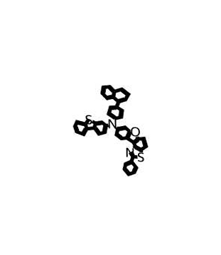 c1ccc(-c2nc3c(ccc4oc5cc(N(c6ccc(-c7cccc8ccccc78)cc6)c6ccc7c(c6)sc6ccccc67)ccc5c43)s2)cc1